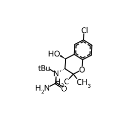 CC1(C)Oc2ccc(Cl)cc2[C@H](O)[C@H]1N(C(N)=O)C(C)(C)C